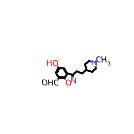 CN1CCC(CCc2noc3c(C=O)cc(O)cc23)CC1